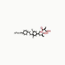 C=C(CO)CC(COC(=O)C(=C)CO)C1=CC(C)=C(CCC2CCC(CCCCC)CC2)[C@@H](C)C1